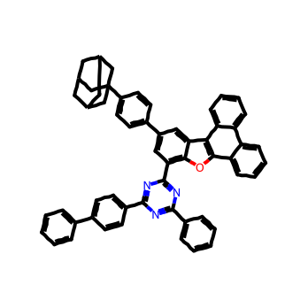 c1ccc(-c2ccc(-c3nc(-c4ccccc4)nc(-c4cc(-c5ccc(C67CC8CC(CC(C8)C6)C7)cc5)cc5c4oc4c6ccccc6c6ccccc6c54)n3)cc2)cc1